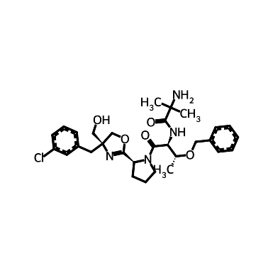 C[C@@H](OCc1ccccc1)[C@H](NC(=O)C(C)(C)N)C(=O)N1CCC[C@H]1C1=N[C@](CO)(Cc2cccc(Cl)c2)CO1